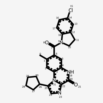 Cc1cc2c(cc1C(=O)N1CCc3cc(Cl)ccc31)[nH]c(=O)c1ncc(C3CCCC3)n12